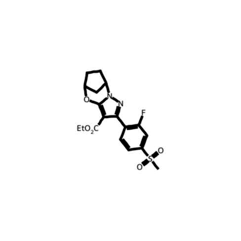 CCOC(=O)c1c(-c2ccc(S(C)(=O)=O)cc2F)nn2c1OC1CCC2C1